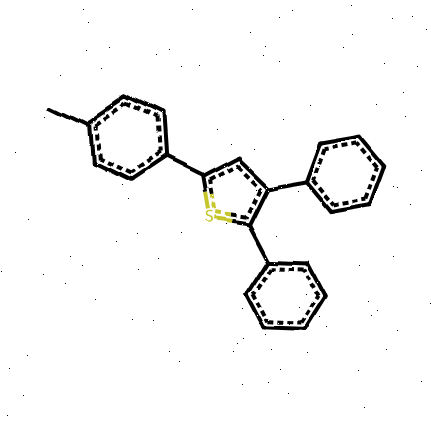 Cc1ccc(-c2cc(-c3ccccc3)c(-c3ccccc3)s2)cc1